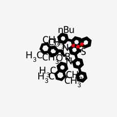 CCCCc1ccc(N2c3cc4c(sc5ccccc54)c4c3B(c3oc5cc6c(cc5c32)C(C)(C)CCC6(C)C)N(c2ccc3c(c2)C(C)(C)CCC3(C)C)c2cc(-c3ccccc3)ccc2-4)c(-c2ccccc2)c1